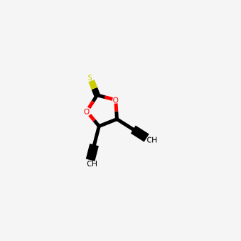 C#CC1OC(=S)OC1C#C